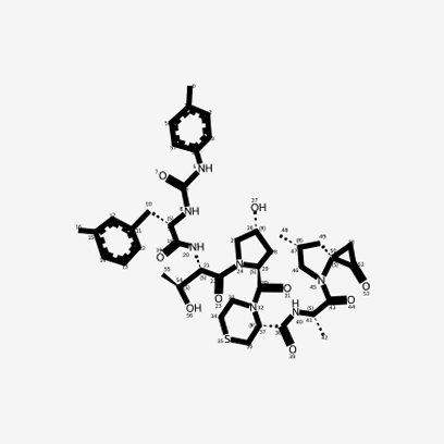 Cc1ccc(NC(=O)N[C@@H](Cc2cccc(C)c2)C(=O)N[C@H](C(=O)N2C[C@H](O)C[C@H]2C(=O)N2CCSC[C@H]2C(=O)N[C@@H](C)C(=O)N2C[C@H](C)C[C@@]23CC3=O)[C@H](C)O)cc1